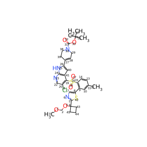 COCOC1(c2ncc(-c3cc(C)ccc3S(=O)(=O)c3c(Cl)cnc4[nH]c(C5=CCN(C(=O)OC(C)(C)C)CC5)cc34)s2)CCC1